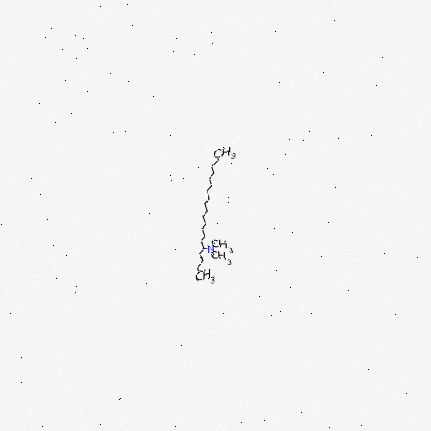 CCCCCCCCCCCCCCCC(CCCC)N(C)C